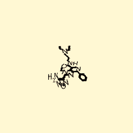 CCN(CC)CCCNC(=O)c1cnc(-c2ccccc2)c2nc(-c3nonc3N)n(CC)c12